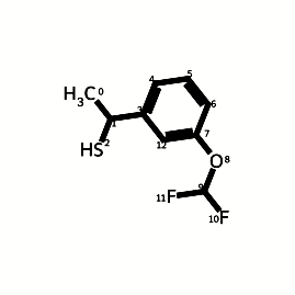 CC(S)c1cccc(OC(F)F)c1